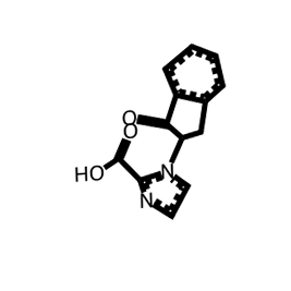 O=C(O)c1nccn1C1Cc2ccccc2C1=O